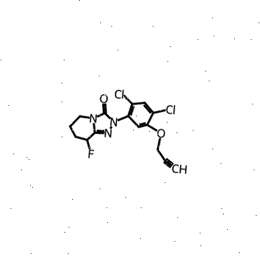 C#CCOc1cc(-n2nc3n(c2=O)CCCC3F)c(Cl)cc1Cl